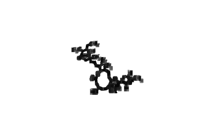 CCC(O)C(C)C1OC1CC(C)(O)/C=C/C=C(\C)C1OC(=O)CC(O)CCC(C)(O)C(OC(=O)N2C[C@H]3C[C@@H]2CN3C)/C=C/C1C